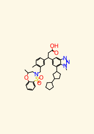 Cc1ccc(C(CC(=O)O)c2cc(C3CCC(C4CCCC4)C3)c3c(c2)nnn3C)cc1CN1CC(C)Oc2ccccc2S1(=O)=O